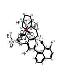 C#Cc1c(F)ccc2cccc(-c3nc4c5c(nc([S+]([O-])CC)nc5c3F)N3C[C@H]5CC[C@@H]([C@H]3CC4)N5C(=O)OC(C)(C)C)c12